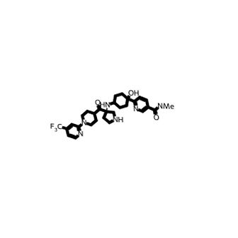 CNC(=O)c1ccc(C2(O)CCC(N[C@@]3(C(=O)C4CCN(c5cc(C(F)(F)F)ccn5)CC4)CCNC3)CC2)nc1